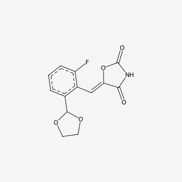 O=C1NC(=O)C(=Cc2c(F)cccc2C2OCCO2)O1